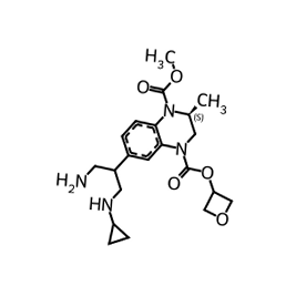 COC(=O)N1c2ccc(C(CN)CNC3CC3)cc2N(C(=O)OC2COC2)C[C@@H]1C